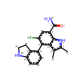 Cc1[nH]c2c(C(N)=O)cc(F)c(-c3cccc4c3CCN4)c2c1C